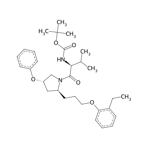 CCc1ccccc1OCCC[C@H]1C[C@H](Oc2ccccc2)CN1C(=O)[C@@H](NC(=O)OC(C)(C)C)C(C)C